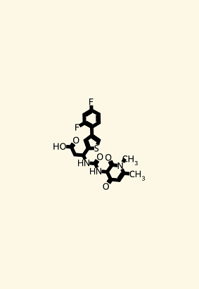 CC1=CC(=O)C(NC(=O)NC(CC(=O)O)c2cc(-c3ccc(F)cc3F)cs2)C(=O)N1C